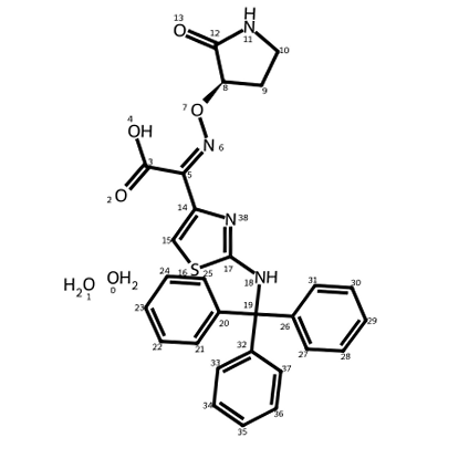 O.O.O=C(O)/C(=N\O[C@@H]1CCNC1=O)c1csc(NC(c2ccccc2)(c2ccccc2)c2ccccc2)n1